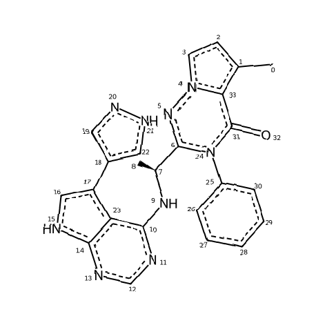 Cc1ccn2nc([C@H](C)Nc3ncnc4[nH]cc(-c5cn[nH]c5)c34)n(-c3ccccc3)c(=O)c12